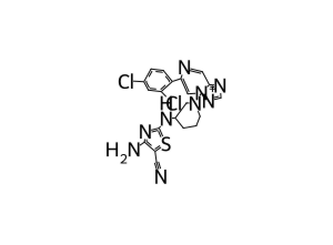 N#Cc1sc(NC2CCCN([N+]34C=C(c5ccc(Cl)cc5Cl)N=CC3=NC=N4)C2)nc1N